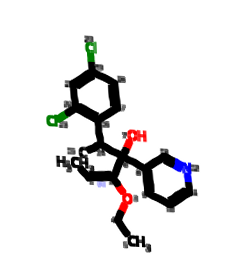 C/C=C(/OCC)C(O)(c1cccnc1)C(C)c1ccc(Cl)cc1Cl